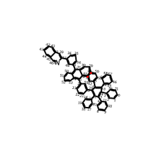 c1ccc(-c2c(-c3ccccc3)c(-c3ccccc3)c(-c3cccc(-c4c5ccccc5c(-c5cccc(-c6cc7ccccc7cn6)c5)c5ccccc45)c3)c(-c3ccccc3)c2-c2ccccc2)cc1